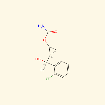 CC[C@@](O)(c1ccccc1Cl)[C@H]1CC1OC(N)=O